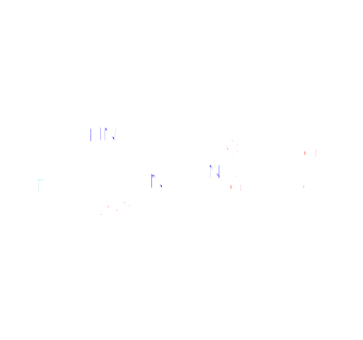 CNCC(C(=O)N1Cc2cn(S(=O)(=O)c3ccc4c(c3)OCCO4)cc2C1)c1cc(C)c(F)cc1OC